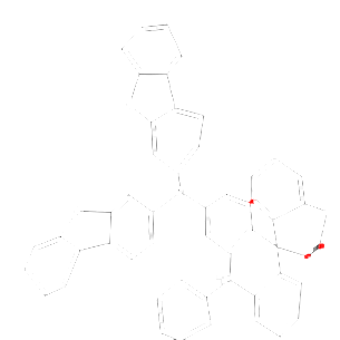 c1ccc([SiH]2c3ccccc3C3(c4ccccc4Sc4ccccc43)c3ccc(N(c4ccc5c(c4)oc4ccccc45)c4ccc5c(c4)oc4ccccc45)cc32)cc1